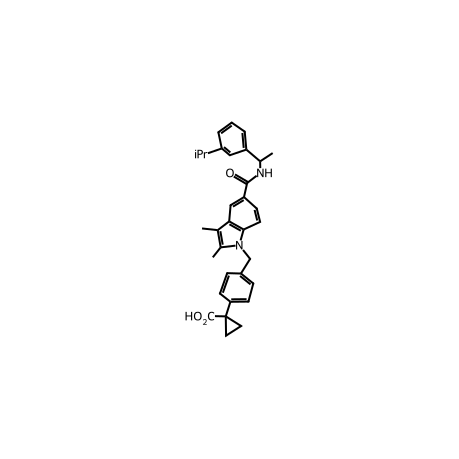 Cc1c(C)n(Cc2ccc(C3(C(=O)O)CC3)cc2)c2ccc(C(=O)NC(C)c3cccc(C(C)C)c3)cc12